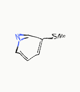 [CH2]Sc1cccnc1